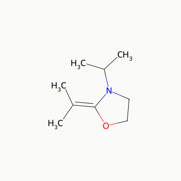 CC(C)=C1OCCN1C(C)C